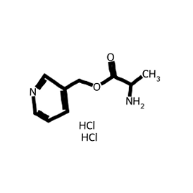 CC(N)C(=O)OCc1cccnc1.Cl.Cl